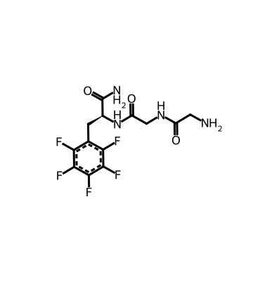 NCC(=O)NCC(=O)N[C@@H](Cc1c(F)c(F)c(F)c(F)c1F)C(N)=O